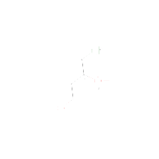 OCCC(O)CCl